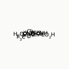 Cc1ccc(NC(=O)c2ccc(-c3ccc(NC(=O)O)cc3)nc2Cl)cc1C(F)(F)F